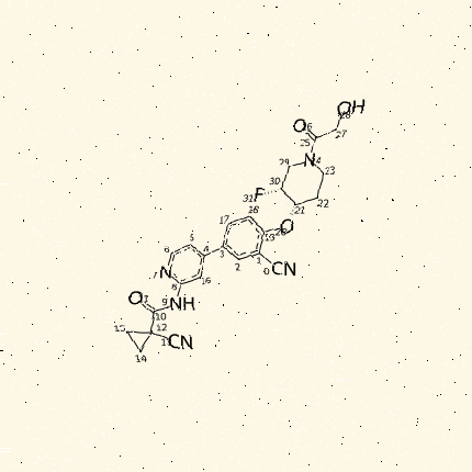 N#Cc1cc(-c2ccnc(NC(=O)C3(C#N)CC3)c2)ccc1O[C@H]1CCN(C(=O)CO)C[C@H]1F